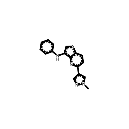 Cn1cc(-c2ccc3scc(Nc4ccccc4)c3n2)cn1